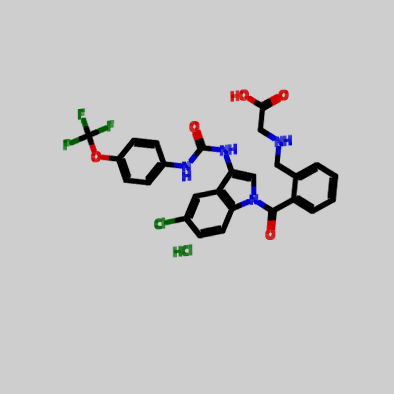 Cl.O=C(O)CNCc1ccccc1C(=O)n1cc(NC(=O)Nc2ccc(OC(F)(F)F)cc2)c2cc(Cl)ccc21